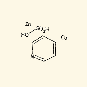 O=S(=O)(O)O.[Cu].[Zn].c1ccncc1